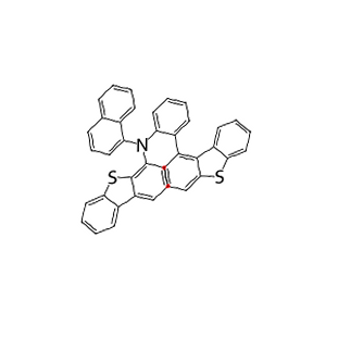 c1ccc(N(c2cccc3ccccc23)c2cccc3c2sc2ccccc23)c(-c2cccc3sc4ccccc4c23)c1